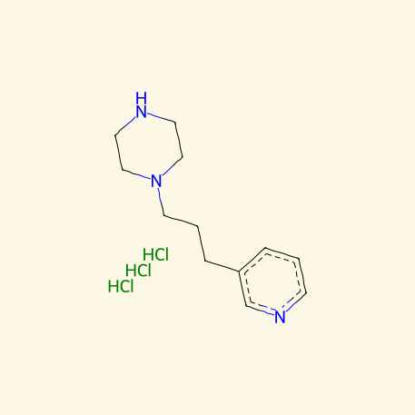 Cl.Cl.Cl.c1cncc(CCCN2CCNCC2)c1